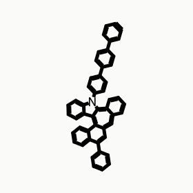 C1=c2ccccc2=c2c(c3ccccc3n2-c2ccc(-c3ccc(-c4cc#ccc4)cc3)cc2)=c2c=1cc(-c1ccccc1)c1ccccc21